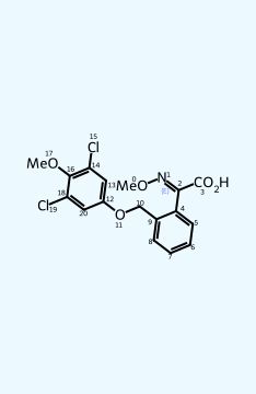 CO/N=C(/C(=O)O)c1ccccc1COc1cc(Cl)c(OC)c(Cl)c1